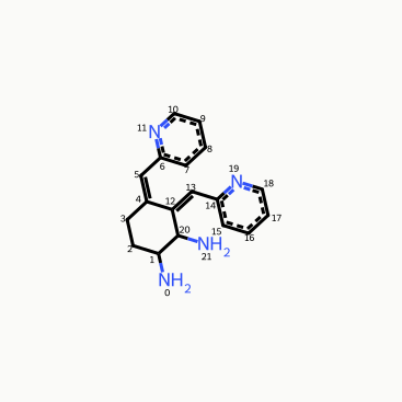 NC1CCC(=Cc2ccccn2)C(=Cc2ccccn2)C1N